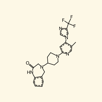 Cc1cnc(N2CCC(N3CC(=O)Nc4ccccc4C3)CC2)cc1-n1cnc(C(F)(F)F)c1